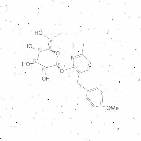 COc1ccc(Cc2ccc(C)nc2O[C@@H]2O[C@H]([C@@H](C)O)[C@@H](O)[C@H](O)[C@H]2O)cc1